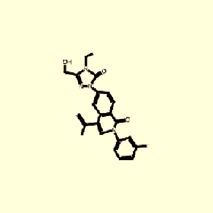 C=C(C)c1cn(-c2cccc(F)c2)c(=O)c2ccc(-n3nc(CO)n(CC)c3=O)cc12